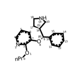 CCCOc1ncccc1O[C@@H](c1ccccc1)[C@H]1CCNC1